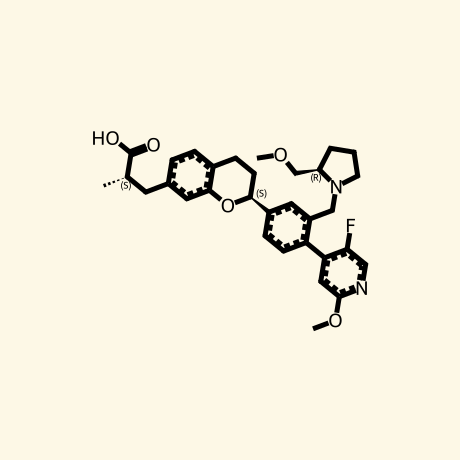 COC[C@H]1CCCN1Cc1cc([C@@H]2CCc3ccc(C[C@H](C)C(=O)O)cc3O2)ccc1-c1cc(OC)ncc1F